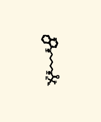 O=C(NCCCCCNc1ccnc2ccccc12)C(F)(F)F